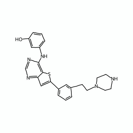 Oc1cccc(Nc2ncnc3cc(-c4cccc(CCN5CCNCC5)c4)sc23)c1